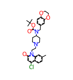 Cc1ccc2c(Cl)cc(=O)n(CCN3CCC(N(Cc4ccc5c(c4)OCCO5)C(=O)OC(C)(C)C)CC3)c2c1